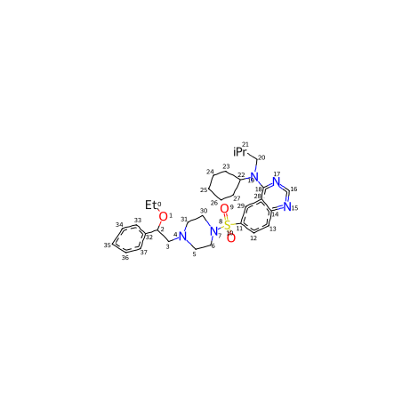 CCOC(CN1CCN(S(=O)(=O)c2ccc3ncnc(N(CC(C)C)C4CCCCC4)c3c2)CC1)c1ccccc1